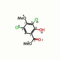 COC(=O)c1cc(Cl)c(OC)c(Cl)c1O